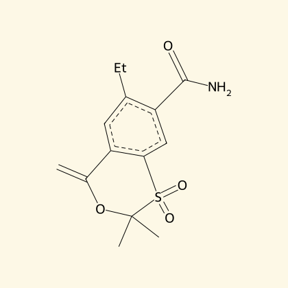 C=C1OC(C)(C)S(=O)(=O)c2cc(C(N)=O)c(CC)cc21